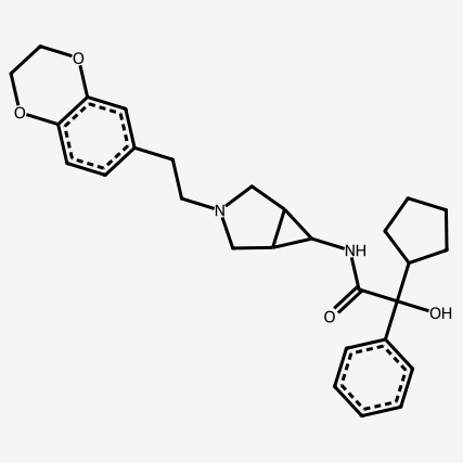 O=C(NC1C2CN(CCc3ccc4c(c3)OCCO4)CC21)C(O)(c1ccccc1)C1CCCC1